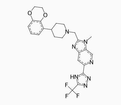 Cn1c(CN2CCC(c3cccc4c3OCCO4)CC2)nc2cc(-c3nnc(C(F)(F)F)[nH]3)ncc21